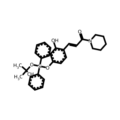 CC(C)(C)O[Si](Oc1ccc(C=CC(=O)N2CCCCC2)c(O)c1)(c1ccccc1)c1ccccc1